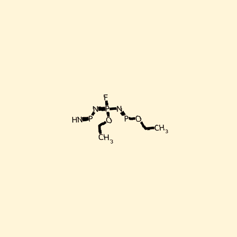 CCO/P=N/P(F)(=NP=N)OCC